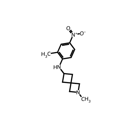 Cc1cc([N+](=O)[O-])ccc1NC1CC2(C1)CN(C)C2